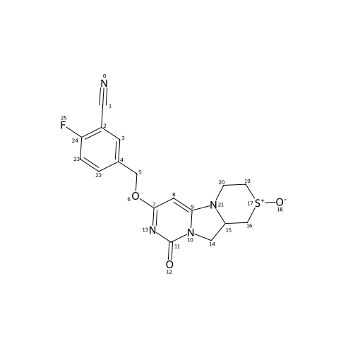 N#Cc1cc(COc2cc3n(c(=O)n2)CC2C[S+]([O-])CCN32)ccc1F